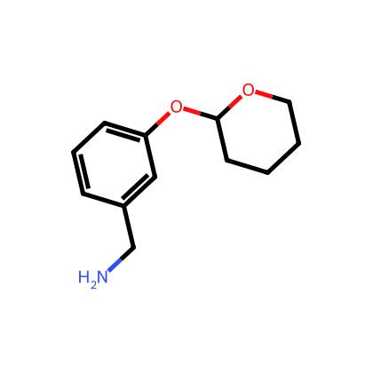 NCc1cccc(OC2CCCCO2)c1